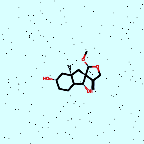 C=C1CO[C@@H](OC)[C@]12C[C@@H]1C[C@@H](O)CCC1[C@H]2O